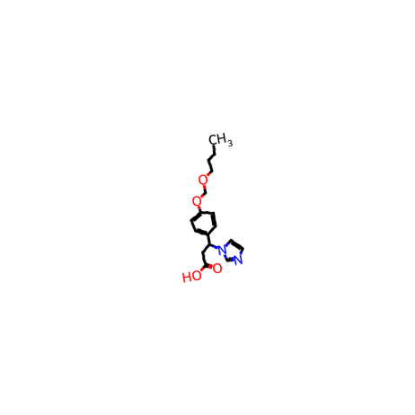 CCCCOCOc1ccc(C(CC(=O)O)n2ccnc2)cc1